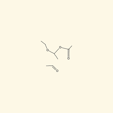 CC=O.CCOC(C)OC(C)=O